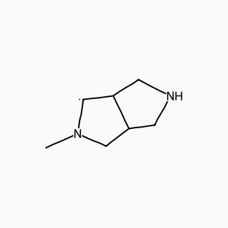 CN1[CH]C2CNCC2C1